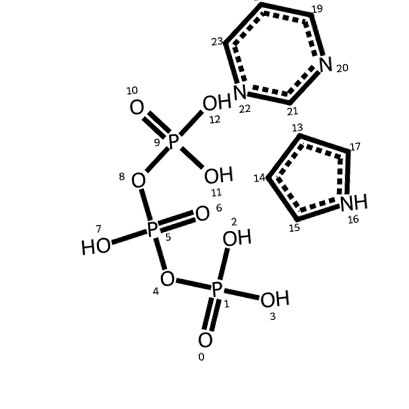 O=P(O)(O)OP(=O)(O)OP(=O)(O)O.c1cc[nH]c1.c1cncnc1